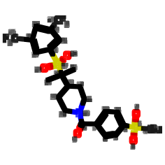 CC(C)(C)S(=O)(=O)c1ccc(C(=O)N2CCC(C(C)(C)S(=O)(=O)c3cc(C(F)(F)F)cc(C(F)(F)F)c3)CC2)cc1